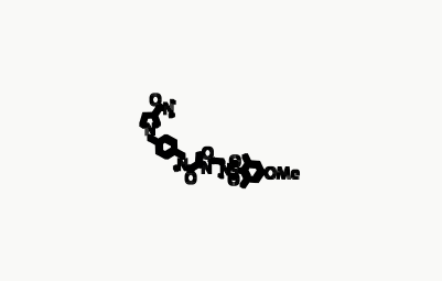 COc1cc(C)c(S(=O)(=O)N(C)Cc2nc(C(=O)N(C)Cc3ccc(CN4CCC(C(=O)N(C)C)C4)cc3)co2)c(C)c1